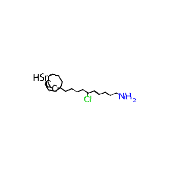 NCCCCCC(Cl)CCCCC12CC[CH2][SnH]([CH2]CC1)[CH2]CC2